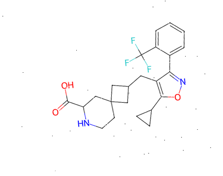 O=C(O)C1CC2(CCN1)CC(Cc1c(-c3ccccc3C(F)(F)F)noc1C1CC1)C2